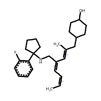 C\C=C/C=C(\C=C(/C)CC1CCC(O)CC1)CNC1(c2ccccc2F)CCCC1